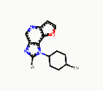 CCc1nc2cnc3ccoc3c2n1C1CCC(C#N)CC1